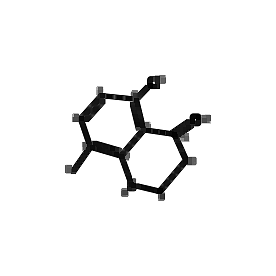 Cc1ccc(Cl)c2c1SCCC2=O